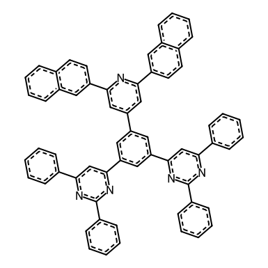 c1ccc(-c2cc(-c3cc(-c4cc(-c5ccc6ccccc6c5)nc(-c5ccc6ccccc6c5)c4)cc(-c4cc(-c5ccccc5)nc(-c5ccccc5)n4)c3)nc(-c3ccccc3)n2)cc1